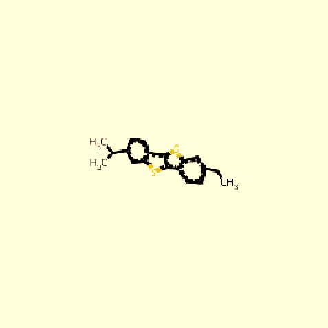 CCc1ccc2c(c1)sc1c3ccc(C(C)C)cc3sc21